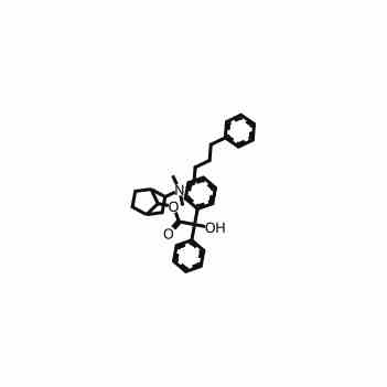 C[N+](C)(CCCCc1ccccc1)C1CC2CCC1C2OC(=O)C(O)(c1ccccc1)c1ccccc1